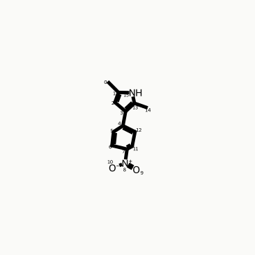 Cc1cc(-c2ccc([N+](=O)[O-])cc2)c(C)[nH]1